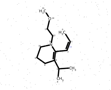 C/C=C\C1=C(C(C)C)CCCN1CCOC